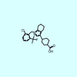 O=C(O)C1CCC(c2cn(Cc3c(Cl)cccc3C(F)(F)F)c3c2CCCC3)CC1